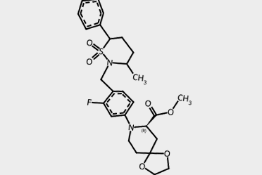 COC(=O)[C@H]1CC2(CCN1c1ccc(CN3C(C)CCC(c4ccccc4)S3(=O)=O)c(F)c1)OCCO2